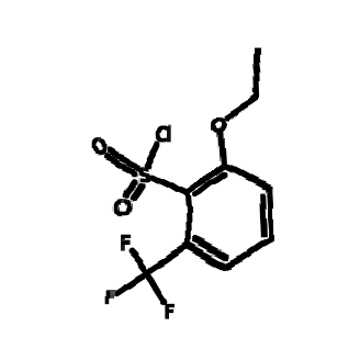 CCOc1cccc(C(F)(F)F)c1S(=O)(=O)Cl